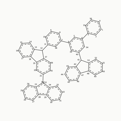 c1ccc(-c2cc(-c3cccc(C4c5ccccc5-c5cc(-n6c7ccccc7c7ccccc76)ccc54)c3)cc(C3c4ccccc4-c4ccccc43)c2)cc1